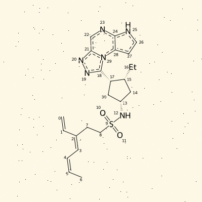 C=C/C(=C\C=C/C)CCS(=O)(=O)N[C@H]1C[C@@H](CC)[C@@H](c2nnc3cnc4[nH]ccc4n23)C1